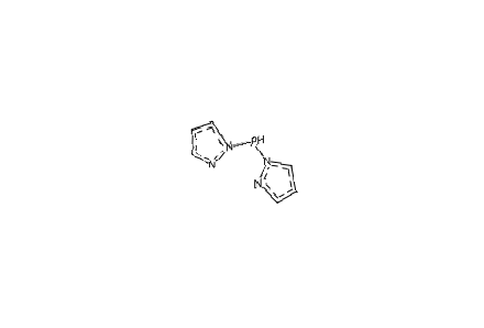 c1cnn(Pn2cccn2)c1